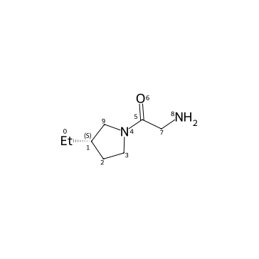 CC[C@H]1CCN(C(=O)CN)C1